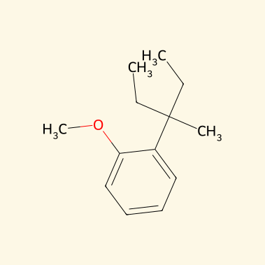 CCC(C)(CC)c1ccccc1OC